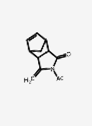 C=C1C2C3C=CC(C3)C2C(=O)N1C(C)=O